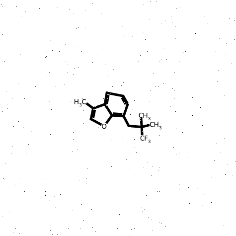 Cc1coc2c(CC(C)(C)C(F)(F)F)cccc12